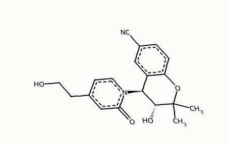 CC1(C)Oc2ccc(C#N)cc2[C@H](n2ccc(CCO)cc2=O)[C@H]1O